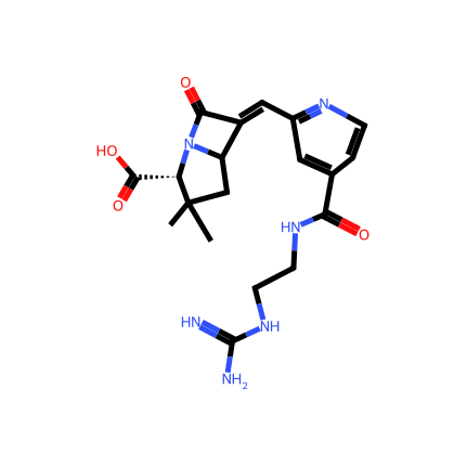 CC1(C)CC2/C(=C\c3cc(C(=O)NCCNC(=N)N)ccn3)C(=O)N2[C@H]1C(=O)O